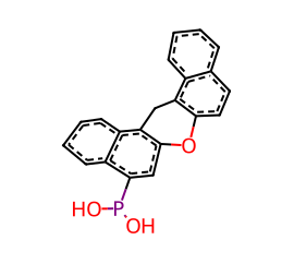 OP(O)c1cc2c(c3ccccc13)Cc1c(ccc3ccccc13)O2